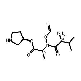 CC(C)[C@H](N)C(=O)N(OC=O)[C@@H](C)C(=O)OC1CCNC1